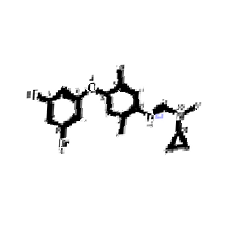 Cc1cc(Oc2cc(F)cc(Br)c2)c(C)cc1/N=C/N(C)C1CC1